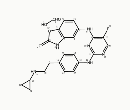 O=CO.O=c1[nH]c2cc(Nc3nc(Nc4ccc(CCNC5CC5)cc4)ncc3F)ccc2o1